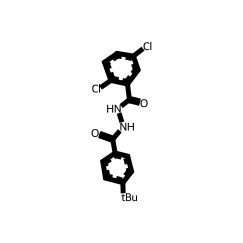 CC(C)(C)c1ccc(C(=O)NNC(=O)c2cc(Cl)ccc2Cl)cc1